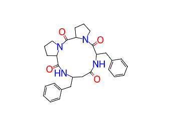 O=C1CC(Cc2ccccc2)NC(=O)C2CCCN2C(=O)C2CCCN2C(=O)C(Cc2ccccc2)N1